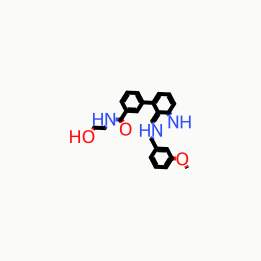 COc1cccc(CN/C=C2\C(=N)C=CC=C2c2cccc(C(=O)NCCO)c2)c1